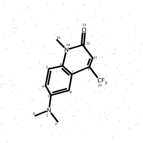 CN(C)c1ccc2c(c1)c(C(F)(F)F)cc(=O)n2C